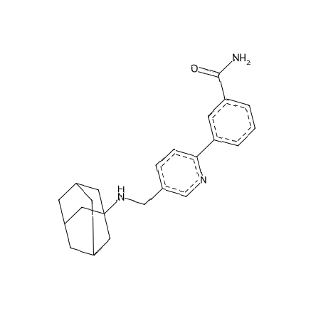 NC(=O)c1cccc(-c2ccc(CNC34CC5CC(CC(C5)C3)C4)cn2)c1